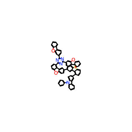 c1ccc(-n2c3ccccc3c3cc(-c4cccc5sc6ccc(-c7ccc8oc9cccc(-c%10nc(-c%11ccc%12c(c%11)oc%11ccccc%11%12)nc(-c%11ccc%12c(c%11)oc%11ccccc%11%12)n%10)c9c8c7)cc6c45)ccc32)cc1